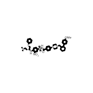 COc1ccc(C2=C(CN3CCN(c4ccc(C(=O)NS(=O)(=O)c5ccc(N[C@H](CCN(C)C)CSc6ccccc6)c([N+](=O)[O-])c5)cc4)CC3)CCCC2)cc1